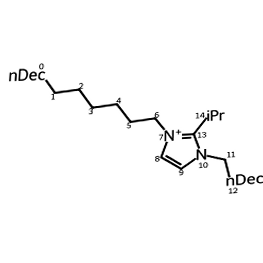 CCCCCCCCCCCCCCCC[n+]1ccn(CCCCCCCCCCC)c1C(C)C